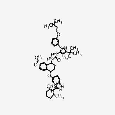 CC1CCCC(C)N1c1nnc2ccc(O[C@@H]3CC[C@H](NC(=O)Nc4cc(C(C)(C)C)nn4-c4cccc(OCCN(C)C)c4)c4ccccc43)cn12.O=CO